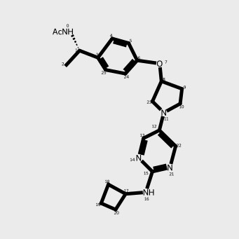 CC(=O)N[C@@H](C)c1ccc(OC2CCN(c3cnc(NC4CCC4)nc3)C2)cc1